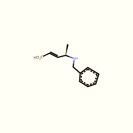 C[C@H](/C=C/C(=O)O)NCc1ccccc1